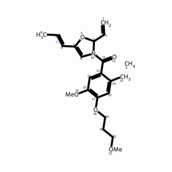 C.C=CC1OC(/C=C/C)=CN1C(=O)c1cc(OC)c(OCCCOC)cc1C